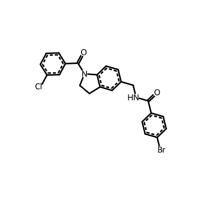 O=C(NCc1ccc2c(c1)CCN2C(=O)c1cccc(Cl)c1)c1ccc(Br)cc1